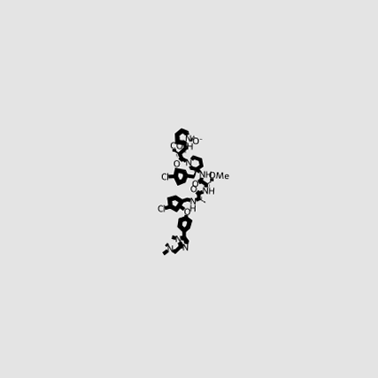 COC[C@H](NC(=O)[C@H](C)NCc1ccc(Cl)cc1Oc1ccc(-c2cnc(CN(C)C)n2C)cc1)C(=O)N[C@@]1(Cc2ccc(Cl)cc2)CCCN(C(=O)[C@@H](CC(=O)O)Cc2cccc[n+]2[O-])C1